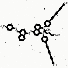 C#CC#CC#CC#Cc1ccc(N2c3cccc4c(/N=N/c5ccc(/N=N/c6ccc(C)cc6)c6ccccc56)ccc(c34)N(c3ccc(C#CC#CC#CC#C)cc3)C2(C)CCCCCCCCCCCCC)cc1